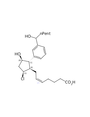 CCCCCC(O)c1cccc([C@@H]2[C@@H](C/C=C\CCCC(=O)O)[C@@H](Cl)C[C@H]2O)c1